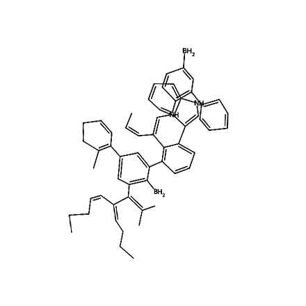 Bc1ccc(N/C=C(/C=C\C)c2c(-c3cc(C4=C(C)CCC=C4)cc(C(=C(C)C)C(/C=C\CCC)=C\CCC)c3B)cccc2-c2c[nH]c3ccccc23)c(-c2ccccc2)c1